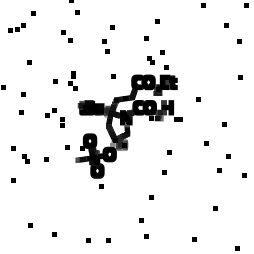 CCOC(=O)CC[C@]1(C(C)(C)C)C[C@@H](OS(C)(=O)=O)CN1C(=O)O